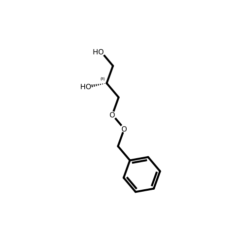 OC[C@@H](O)COOCc1ccccc1